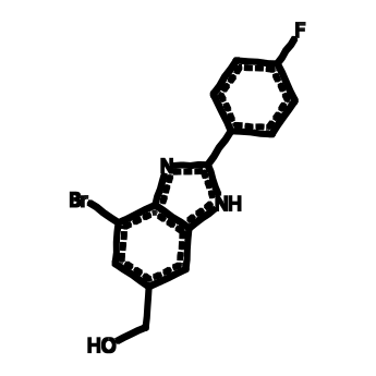 OCc1cc(Br)c2nc(-c3ccc(F)cc3)[nH]c2c1